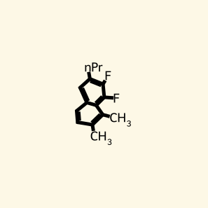 CCCc1cc2ccc(C)c(C)c2c(F)c1F